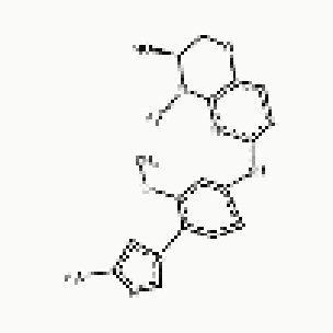 COc1cc(Nc2ncc3c(n2)N(C)[C@@H](O)CO3)ccc1-n1cnc(C)c1